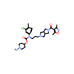 CC(=O)N1CCC(OC(=O)N(CCCN2CC3CN(C(=O)c4c(C)noc4C)CC3C2)c2ccc(C)c(Cl)c2)CC1